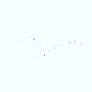 CCOC(=O)CCc1cnn(-c2cccc(-c3cccc4c3C(Oc3ccc(C5CCN(C(=O)O)CC5)c(CC)c3)CC4)n2)c1